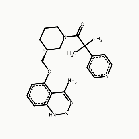 CC(C)(C(=O)N1CCC[C@H](COc2cccc3c2C(N)=NSN3)C1)c1ccncc1